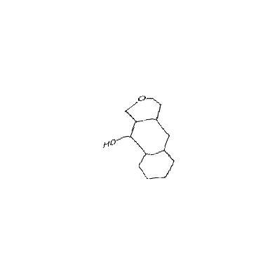 OC1C2CCCCC2CC2COCC21